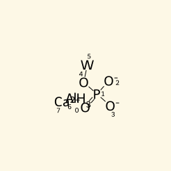 O=P([O-])([O-])[O][W].[AlH3].[Ca+2]